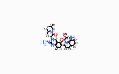 CC(C)CN(C(=O)CN1Cc2c(cccc2OC(C(N)=O)N2CCCC3CCCCC32)N=C1N)C(C)C